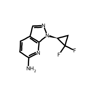 Nc1ccc2cnn([C@H]3CC3(F)F)c2n1